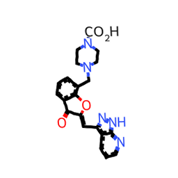 O=C1C(=Cc2n[nH]c3ncccc23)Oc2c(CN3CCN(C(=O)O)CC3)cccc21